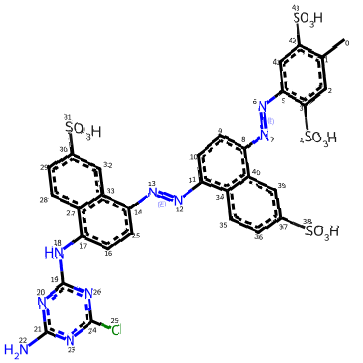 Cc1cc(S(=O)(=O)O)c(/N=N/c2ccc(/N=N/c3ccc(Nc4nc(N)nc(Cl)n4)c4ccc(S(=O)(=O)O)cc34)c3ccc(S(=O)(=O)O)cc23)cc1S(=O)(=O)O